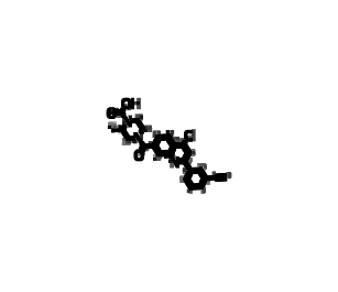 C#Cc1cccc(-c2cc(Cl)c3ccc(C(=O)N4CCN(C(=O)O)[C@H](C)C4)cc3n2)c1